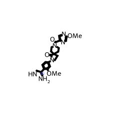 COc1cnc(C(=O)N2CCC3(CC2)CCN(c2ccc(/C(C=N)=C/N)c(OC)c2)C3=O)cn1